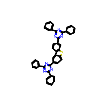 c1ccc(-c2nc(-c3ccccc3)nc(-c3ccc4c(c3)sc3ccc(-c5nc(-c6ccccc6)nc(-c6ccccc6)n5)cc34)n2)cc1